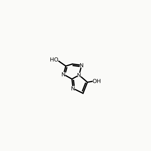 Oc1cnn2c(O)cnc2n1